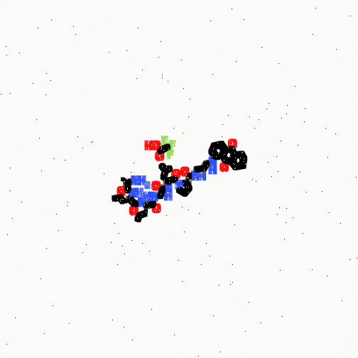 CCC[C@H](NC(=O)[C@H](C)N)C(=O)N[C@@H](CCC)C(=O)NCC(=O)N[C@@H](CC(C)C)C(=O)N1CCC[C@H]1C(=O)NCCCNc1cccc2c1C(=O)c1ccccc1C2=O.O=C(O)C(F)(F)F